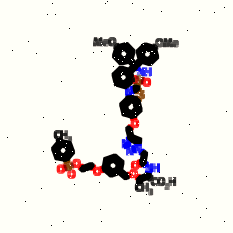 COc1ccc(C(NS(=O)(=O)c2nc3ccc(OCc4cn(CC(=O)NC(C(=O)O)C(C)OCc5cccc(OCCOS(=O)(=O)c6ccc(C)cc6)c5)nn4)cc3s2)(c2ccccc2)c2ccc(OC)cc2)cc1